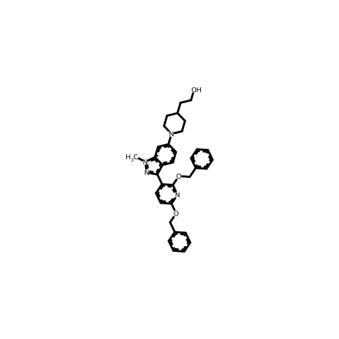 Cn1nc(-c2ccc(OCc3ccccc3)nc2OCc2ccccc2)c2ccc(N3CCC(CCO)CC3)cc21